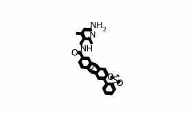 Cc1cc(N)nc(C)c1CNC(=O)c1ccc2c(c1)c1oc2c2cc(-c3ccccc3S(C)(=O)=O)ccc21